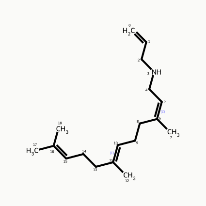 C=CCNC/C=C(/C)CC/C=C(\C)CCC=C(C)C